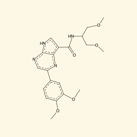 COCC(COC)NC(=O)c1c[nH]c2ncc(-c3ccc(OC)c(OC)c3)nc12